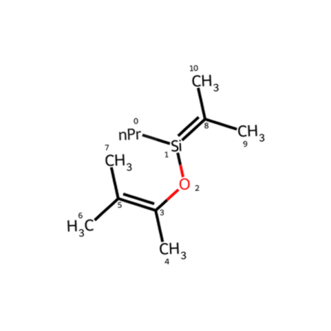 CCC[Si](OC(C)=C(C)C)=C(C)C